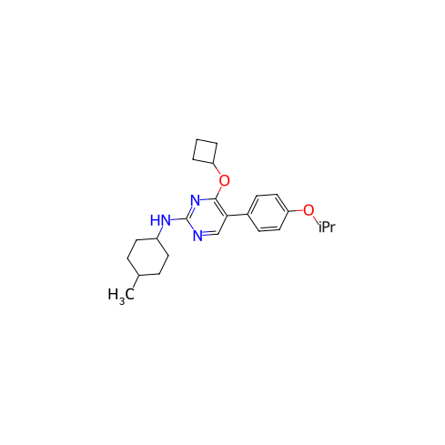 CC1CCC(Nc2ncc(-c3ccc(OC(C)C)cc3)c(OC3CCC3)n2)CC1